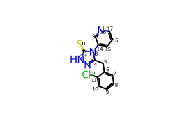 S=c1[nH]nc(Cc2ccccc2Cl)n1-c1cccnc1